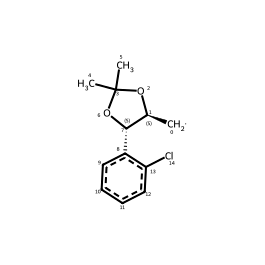 [CH2][C@@H]1OC(C)(C)O[C@H]1c1ccccc1Cl